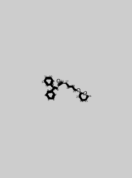 C(=C(c1ccccc1)c1ccccc1)[C@@H]1O[C@H]1CCCCOC1CCCCO1